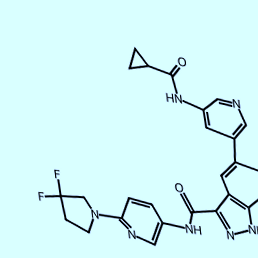 O=C(Nc1ccc(N2CCC(F)(F)C2)nc1)c1n[nH]c2ccc(-c3cncc(NC(=O)C4CC4)c3)cc12